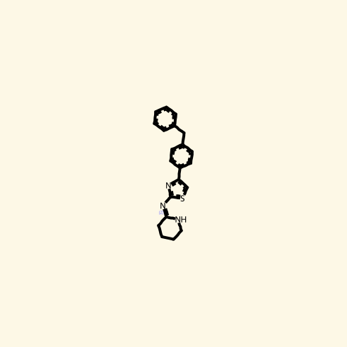 c1ccc(Cc2ccc(-c3csc(/N=C4/CCCCN4)n3)cc2)cc1